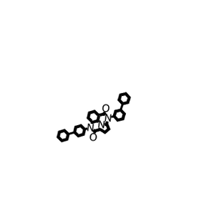 O=c1c2ccc3n(-c4cccc(-c5ccccc5)c4)c(=O)c4cccc(c4n23)n1-c1ccc(-c2ccccc2)cc1